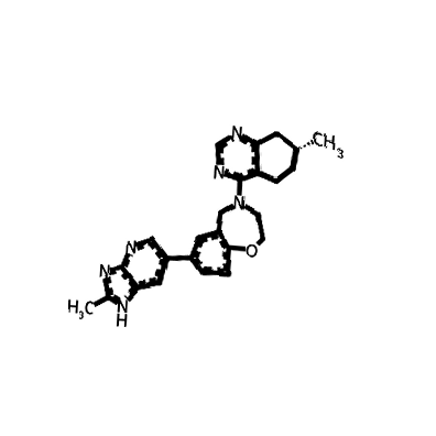 Cc1nc2ncc(-c3ccc4c(c3)CN(c3ncnc5c3CC[C@@H](C)C5)CCO4)cc2[nH]1